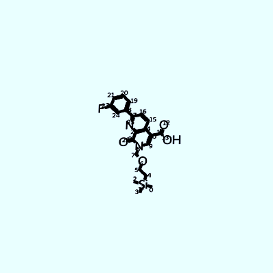 C[Si](C)(C)CCOCn1cc(C(=O)O)c2ccc(-c3cccc(F)c3)nc2c1=O